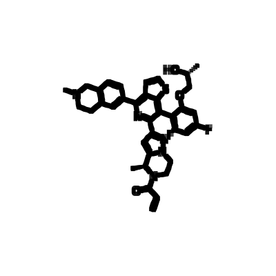 C=CC(=O)N1CCn2nc(-c3nc(-c4ccc5c(c4)CCN(C)C5)c4ccsc4c3-c3c(F)cc(F)cc3OC[C@@H](C)O)cc2[C@@H]1C